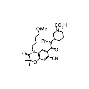 COCCCCN1C(=O)C(C)(C)Oc2cc(C#N)c(C(=O)N(C(C)C)[C@@H]3CCCN(C(=O)O)C3)cc21